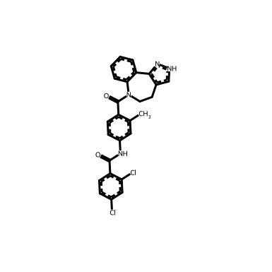 Cc1cc(NC(=O)c2ccc(Cl)cc2Cl)ccc1C(=O)N1CCc2c[nH]nc2-c2ccccc21